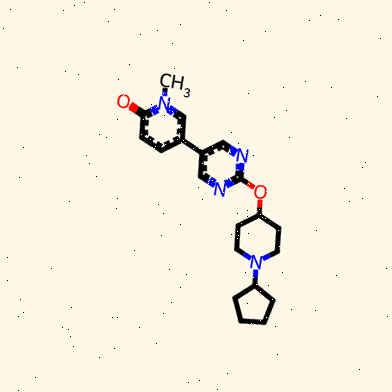 Cn1cc(-c2cnc(OC3CCN(C4CCCC4)CC3)nc2)ccc1=O